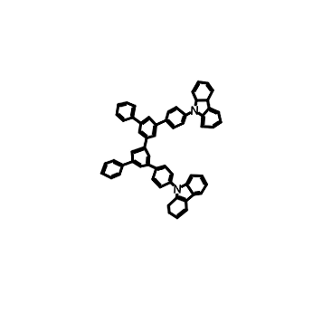 C1=CC2c3ccccc3N(c3ccc(-c4cc(-c5ccccc5)cc(-c5cc(-c6ccccc6)cc(-c6ccc(-n7c8c(c9ccccc97)C=CCC8)cc6)c5)c4)cc3)C2C=C1